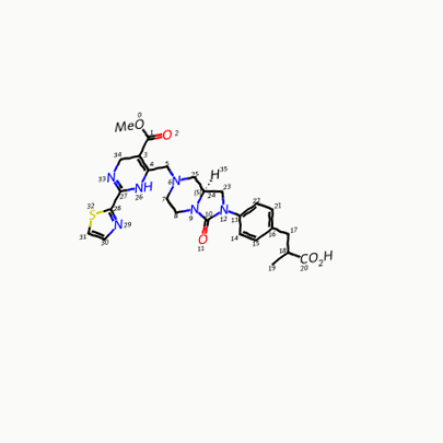 COC(=O)C1=C(CN2CCN3C(=O)N(c4ccc(CC(C)C(=O)O)cc4)C[C@@H]3C2)NC(c2nccs2)=NC1